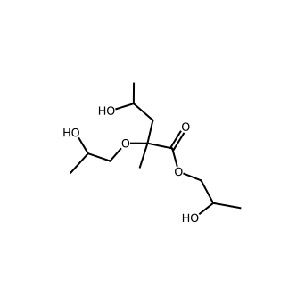 CC(O)COC(=O)C(C)(CC(C)O)OCC(C)O